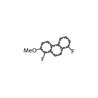 COc1ccc2c(ccc3c(F)cccc32)c1F